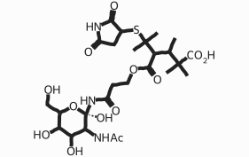 CC(=O)NC1C(O)C(O)C(CO)O[C@@]1(O)NC(=O)CCOC(=O)C(C(C)C(C)(C)C(=O)O)C(C)(C)SC1CC(=O)NC1=O